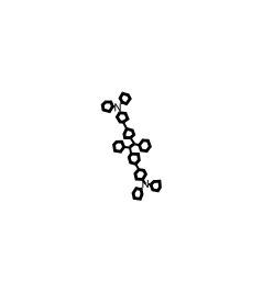 c1ccc(C(=C(c2ccccc2)c2ccc(-c3ccc(N(c4ccccc4)c4ccccc4)cc3)cc2)c2ccc(-c3ccc(N(c4ccccc4)c4ccccc4)cc3)cc2)cc1